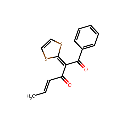 CC=CC(=O)C(C(=O)c1ccccc1)=C1SC=CS1